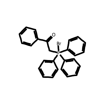 O=C(CP(Br)(c1ccccc1)(c1ccccc1)c1ccccc1)c1ccccc1